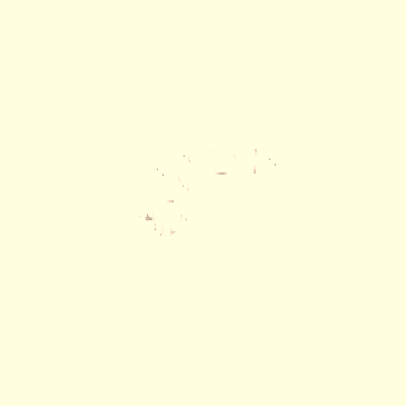 CN(N)c1cnc(Nc2ccc(S(N)(=O)=O)cc2)nc1N(C)C1(C=O)CCCCC1